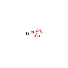 O.O.O.[Bi]